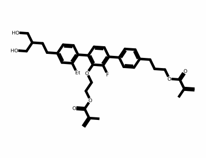 C=C(C)C(=O)OCCCc1ccc(-c2ccc(-c3ccc(CCC(CO)CO)cc3CC)c(OCCOC(=O)C(=C)C)c2F)cc1